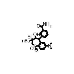 CCCCC1(CC)CS(=O)(=O)c2ccc(N(C)C)cc2C(c2cccc(C(N)=O)c2)C1O